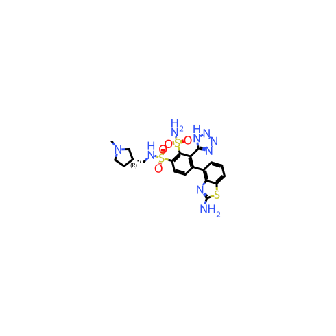 CN1CC[C@@H](CNS(=O)(=O)c2ccc(-c3cccc4sc(N)nc34)c(-c3nnn[nH]3)c2S(N)(=O)=O)C1